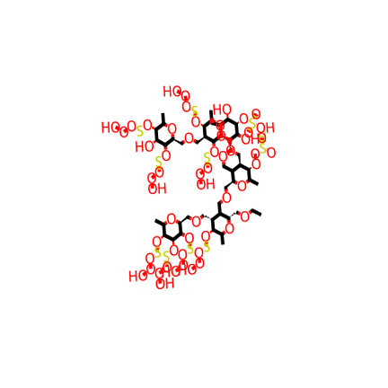 CCOC[C@@H]1OC(C)[C@@H](OSOOO)[C@H](COC[C@@H]2OC(C)[C@H](OSOOO)[C@H](OSOOO)C2OSOOO)C1COC[C@@H]1OC(C)[C@@H](OO[SH](=O)=O)[C@H](COC[C@@H]2OC(C)[C@@H](OSOOO)[C@H](COC[C@@H]3OC(C)[C@H](OSOOO)[C@H](O)C3OSOOO)C2OSOOO)C1COC[C@@H]1OC(C)[C@@H](O)[C@H](OS(=O)(=O)O)C1O